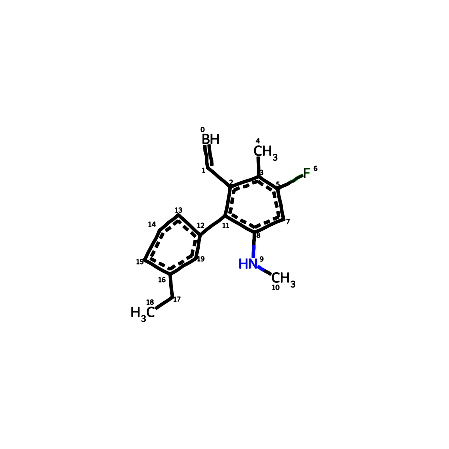 B=Cc1c(C)c(F)cc(NC)c1-c1cccc(CC)c1